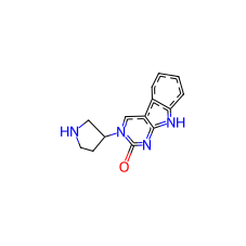 O=c1nc2[nH]c3ccccc3c2cn1C1CCNC1